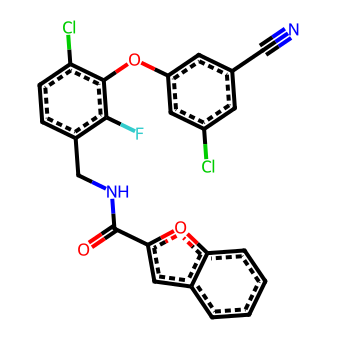 N#Cc1cc(Cl)cc(Oc2c(Cl)ccc(CNC(=O)c3cc4ccccc4o3)c2F)c1